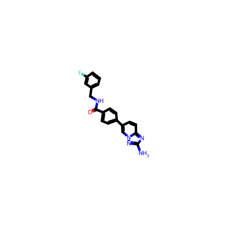 Nc1nc2ccc(-c3ccc(C(=O)NCc4cccc(F)c4)cc3)cn2n1